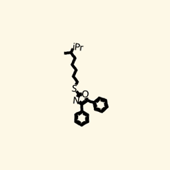 CC(C)C(C)CCCCCSc1nc(-c2ccccc2)c(-c2ccccc2)o1